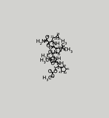 COC(=O)OCC(NC(=O)NC(C(=O)N1CC2C(C1C(=O)NC(CC1CC1)C(=O)C(N)=O)C2(C)C)C(C)(C)C)C1CCCC1